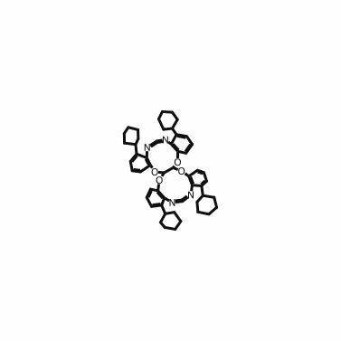 C1=Nc2c(cccc2C2CCCCC2)OC2Oc3cccc(C4CCCCC4)c3N=C=Nc3c(cccc3C3CCCCC3)OC2Oc2cccc(C3CCCCC3)c2N=1